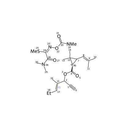 C#CC(OC(=O)[C@@H]1C(C=C(C)C)C1(C)C)/C(C)=C/CC.CNC(=O)ON=C(SC)C(=O)N(C)C